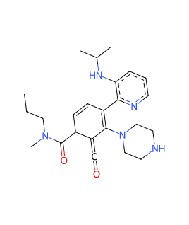 CCCN(C)C(=O)C1C=CC(c2ncccc2NC(C)C)=C(N2CCNCC2)C1=C=O